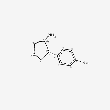 N[C@H]1COC[C@H]1c1ccc(I)cc1